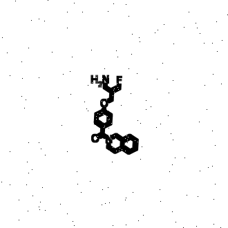 NC/C(=C\F)COc1ccc(C(=O)N2CCc3ccccc3C2)cc1